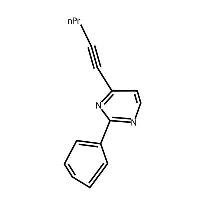 CCCC#Cc1ccnc(-c2ccccc2)n1